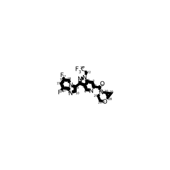 O=C(c1cc2c(cn1)c(-c1cnc3c(F)cc(F)cn13)nn2CC(F)(F)F)N1CCOC2CC21